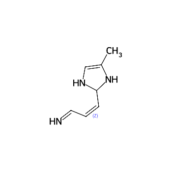 CC1=CNC(/C=C\C=N)N1